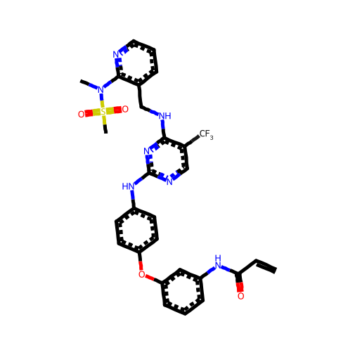 C=CC(=O)Nc1cccc(Oc2ccc(Nc3ncc(C(F)(F)F)c(NCc4cccnc4N(C)S(C)(=O)=O)n3)cc2)c1